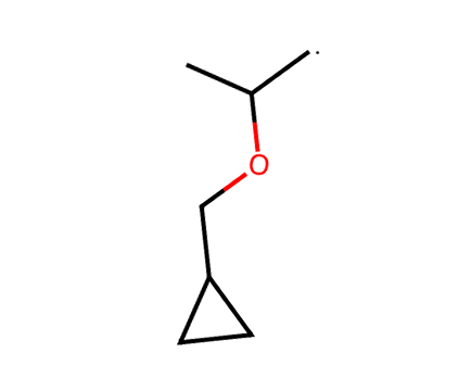 [CH2]C(C)OCC1CC1